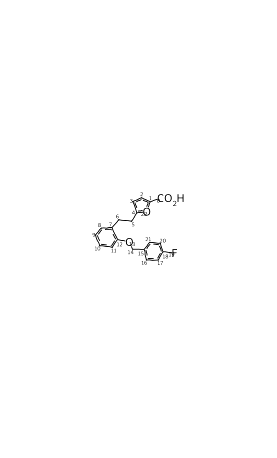 O=C(O)c1ccc(CCc2ccccc2OCc2ccc(F)cc2)o1